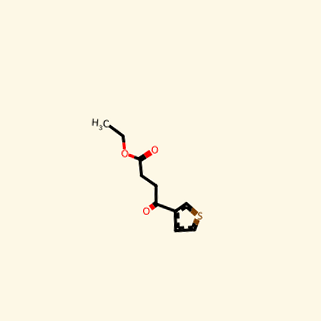 CCOC(=O)CCC(=O)c1ccsc1